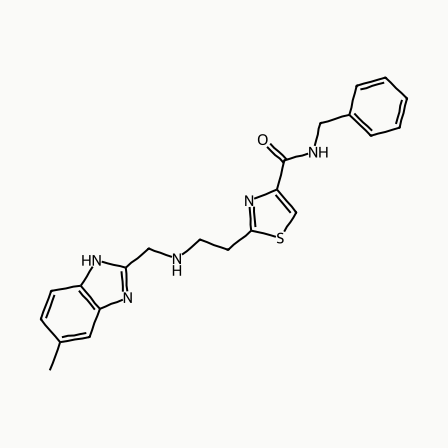 Cc1ccc2[nH]c(CNCCc3nc(C(=O)NCc4ccccc4)cs3)nc2c1